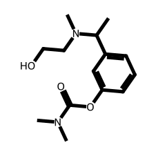 CC(c1cccc(OC(=O)N(C)C)c1)N(C)CCO